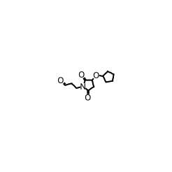 O=CCCN1C(=O)CC(OC2CCCC2)C1=O